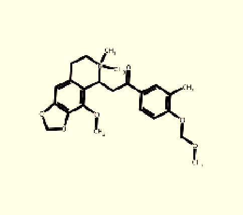 COCOc1ccc(C(=O)CC2c3c(cc4c(c3OC)OCO4)CC[N+]2(C)C)cc1C